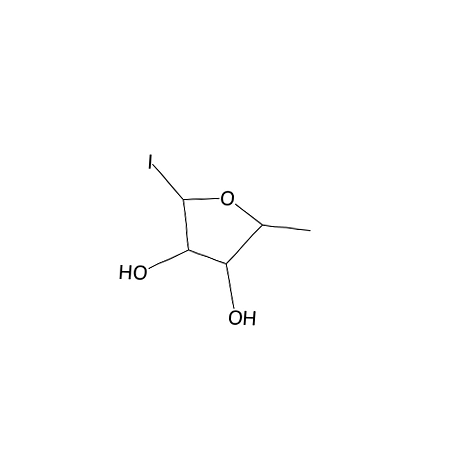 CC1OC(I)C(O)C1O